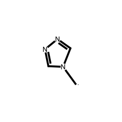 [CH2]n1cnnc1